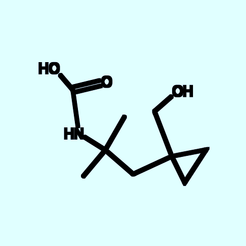 CC(C)(CC1(CO)CC1)NC(=O)O